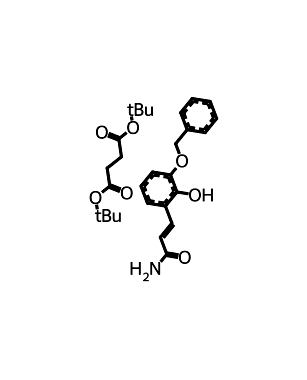 CC(C)(C)OC(=O)CCC(=O)OC(C)(C)C.NC(=O)/C=C/c1cccc(OCc2ccccc2)c1O